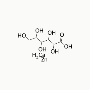 O=C(O)C(O)C(O)C(O)C(O)CO.[CaH2].[Zn]